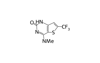 CNc1nc(=O)[nH]c2cc(C(F)(F)F)sc12